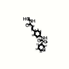 O=C(/C=C/c1ccc(NS(=O)(=O)c2cccnc2)cc1)NO